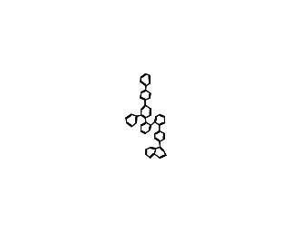 c1ccc(-c2ccc(-c3ccc(-c4ccccc4-c4ccccc4-c4ccc(-c5cccc6ccccc56)cc4)c(-c4ccccc4)c3)cc2)cc1